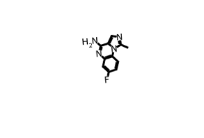 Cc1ncc2c(N)nc3cc(F)ccc3n12